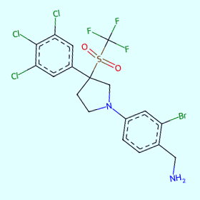 NCc1ccc(N2CCC(c3cc(Cl)c(Cl)c(Cl)c3)(S(=O)(=O)C(F)(F)F)C2)cc1Br